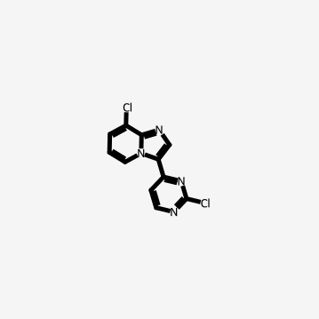 Clc1nccc(-c2cnc3c(Cl)cccn23)n1